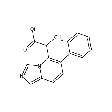 CC(C(=O)O)c1c(-c2ccccc2)ccc2cncn12